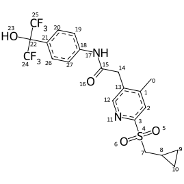 Cc1cc(S(=O)(=O)CC2CC2)ncc1CC(=O)Nc1ccc(C(O)(C(F)(F)F)C(F)(F)F)cc1